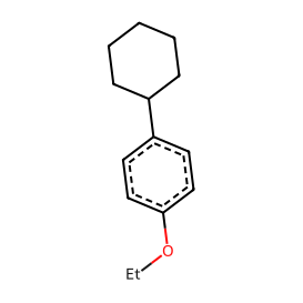 CCOc1ccc(C2CCCCC2)cc1